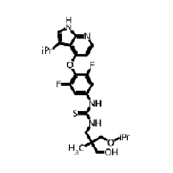 CC(C)OCC(C)(CO)CNC(=S)Nc1cc(F)c(Oc2ccnc3[nH]cc(C(C)C)c23)c(F)c1